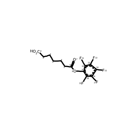 O=C(O)CCCCCC(=O)Oc1c(F)c(F)c(F)c(F)c1F